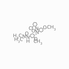 CCOc1ccc2c(c1)n(-c1ccccc1Cl)c(=O)n2Cc1ccc(NC(=O)N(CC)CC)cc1OC